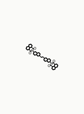 O=C1c2cccc3cccc(c23)C(=O)N1c1ccc2cc(/C=C/c3ccc4cc(N5C(=O)c6cccc7cccc(c67)C5=O)ccc4c3)ccc2c1